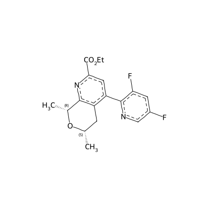 CCOC(=O)c1cc(-c2ncc(F)cc2F)c2c(n1)[C@@H](C)O[C@@H](C)C2